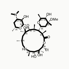 CC[C@H]1OC(=O)[C@H](C)C([C@H]2C[C@@](C)(OC)[C@@H](O)[C@H](C)O2)[C@H](C)[C@@H](O[C@@H]2O[C@H](C)C[C@H](N(C)C)[C@H]2O)[C@](C)(O)C[C@@H](C)CN[C@H](C)[C@@H](O)[C@]1(C)O